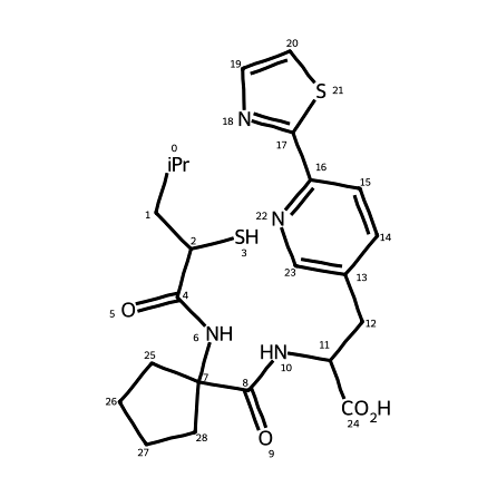 CC(C)CC(S)C(=O)NC1(C(=O)NC(Cc2ccc(-c3nccs3)nc2)C(=O)O)CCCC1